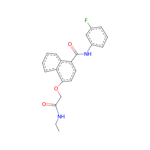 CCNC(=O)COc1ccc(C(=O)Nc2cccc(F)c2)c2ccccc12